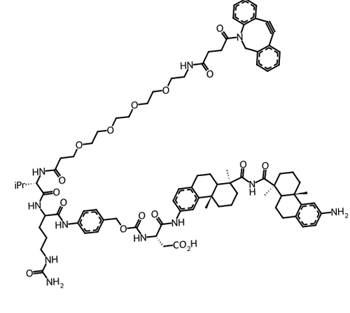 CC(C)[C@H](NC(=O)CCOCCOCCOCCOCCNC(=O)CCC(=O)N1Cc2ccccc2C#Cc2ccccc21)C(=O)NC(CCCNC(N)=O)C(=O)Nc1ccc(COC(=O)N[C@@H](CC(=O)O)C(=O)Nc2ccc3c(c2)[C@@]2(C)CCC[C@](C)(C(=O)NC(=O)[C@@]4(C)CCC[C@]5(C)c6cc(N)ccc6CCC45)C2CC3)cc1